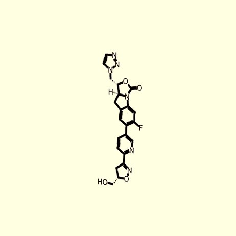 O=C1O[C@@H](Cn2ccnn2)[C@@H]2Cc3cc(-c4ccc(C5=NO[C@H](CO)C5)nc4)c(F)cc3N12